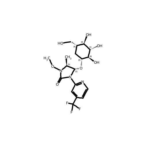 CON1C(=O)N(c2cc(C(F)(F)F)ccn2)[C@@H](O[C@@H]2C[C@H](CO)[C@@H](O)[C@H](O)[C@H]2O)[C@@H]1C